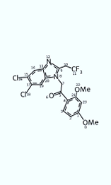 COc1ccc(C(=O)Cn2c(CC(F)(F)F)nc3cc(Cl)c(Cl)cc32)c(OC)c1